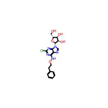 OC[C@H]1O[C@@H](n2cnc3c(NOCCc4ccccc4)nc(Cl)nc32)[C@H](O)[C@@H]1O